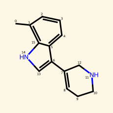 Cc1cccc2c(C3=CCCNC3)c[nH]c12